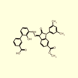 COC(=O)c1ccc2c(c1)N(c1cc(C)cc(C)c1)C(=O)C2=NNc1cccc(-c2cccc(C(=O)O)c2)c1O